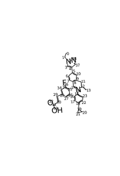 CCn1cc(-c2ccc3c(c2)C[C@@H](C)N(c2ccc(C4CC4)cc2)[C@@H]3c2ccc(/C=C/C(=O)O)cc2F)cn1